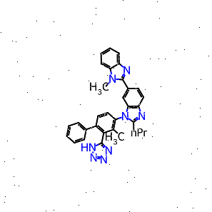 CCCc1nc2ccc(-c3nc4ccccc4n3C)cc2n1-c1ccc(-c2ccccc2)c(-c2nnn[nH]2)c1C